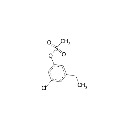 CCc1cc(Cl)cc(OS(C)(=O)=O)c1